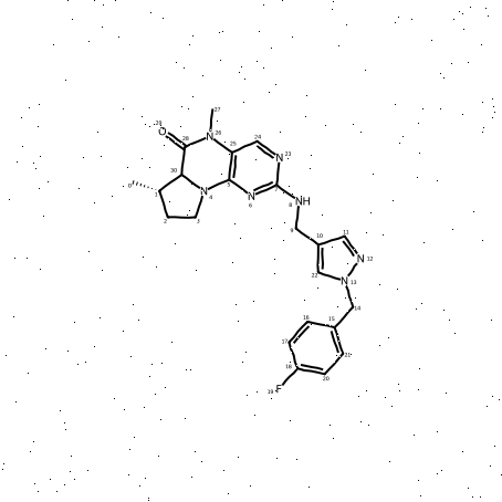 C[C@H]1CCN2c3nc(NCc4cnn(Cc5ccc(F)cc5)c4)ncc3N(C)C(=O)C12